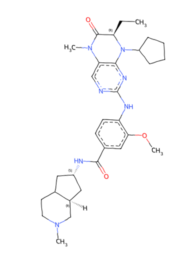 CC[C@@H]1C(=O)N(C)c2cnc(Nc3ccc(C(=O)N[C@H]4CC5CCN(C)C[C@@H]5C4)cc3OC)nc2N1C1CCCC1